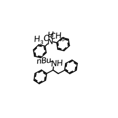 CC.CCCCNC(Cc1ccccc1)c1ccccc1.c1ccc(Nc2ccccc2)cc1